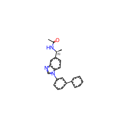 CC(=O)N[C@@H](C)c1ccc2c(c1)ncn2-c1cccc(-c2ccccc2)c1